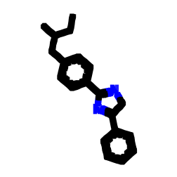 CCC(C)Cc1ccc(C2=NCC(c3ccccc3)=N2)cc1